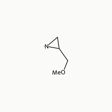 COCC1C[N]1